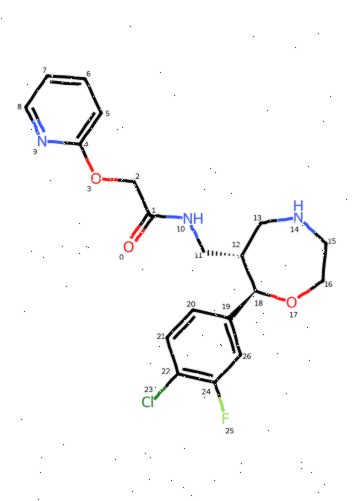 O=C(COc1ccccn1)NC[C@@H]1CNCCO[C@H]1c1ccc(Cl)c(F)c1